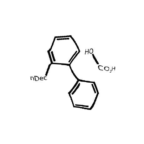 CCCCCCCCCCc1ccccc1-c1ccccc1.O=C(O)O